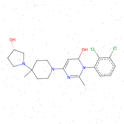 CC1=NC(N2CCC(C)(N3CC[C@H](O)C3)CC2)=CC(O)N1c1cccc(Cl)c1Cl